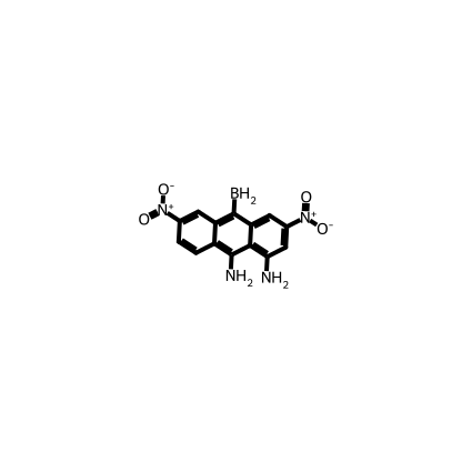 Bc1c2cc([N+](=O)[O-])ccc2c(N)c2c(N)cc([N+](=O)[O-])cc12